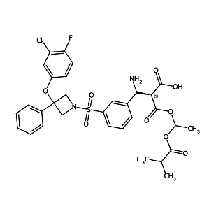 CC(OC(=O)C(C)C)OC(=O)[C@H](C(=O)O)C(N)c1cccc(S(=O)(=O)N2CC(Oc3ccc(F)c(Cl)c3)(c3ccccc3)C2)c1